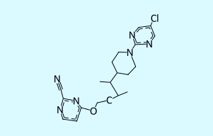 CC(CCOc1ccnc(C#N)n1)C(C)C1CCN(c2ncc(Cl)cn2)CC1